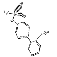 CCOC(=O)c1ccccc1-c1ccc(OS(=O)(=O)C(F)(F)F)cc1